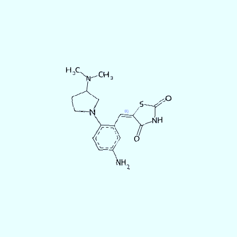 CN(C)C1CCN(c2ccc(N)cc2/C=C2/SC(=O)NC2=O)C1